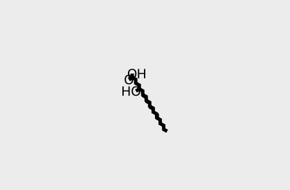 CCCCCC=CCC=CC=CC=CCC(O)CCCC(=O)O